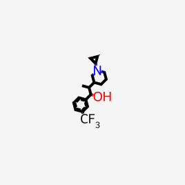 CC(C1CCCN(C2CC2)C1)C(O)c1cccc(C(F)(F)F)c1